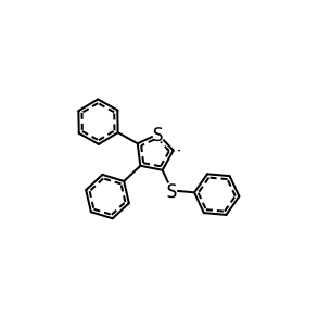 [c]1sc(-c2ccccc2)c(-c2ccccc2)c1Sc1ccccc1